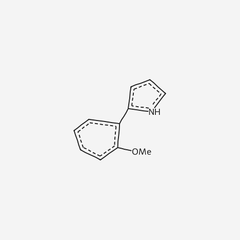 COc1ccccc1-c1ccc[nH]1